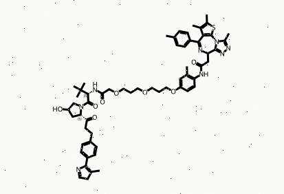 CC1=C(c2ccc(CCC(=O)[C@@H]3CC(O)CN3C(=O)[C@@H](NC(=O)COCCCOCCCOc3ccc(NC(=O)CC4N=C(c5ccc(C)cc5)c5c(sc(C)c5C)-n5c(C)nnc54)c(C)c3)C(C)(C)C)cc2)N=CC1